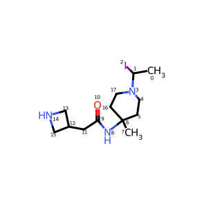 CC(I)N1CCC(C)(NC(=O)CC2CNC2)CC1